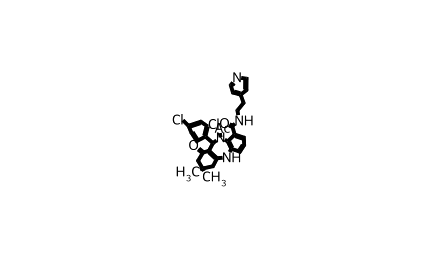 CC(=O)N1c2c(cccc2C(=O)NCCc2ccncc2)NC2=C(C(=O)CC(C)(C)C2)C1c1ccc(Cl)cc1Cl